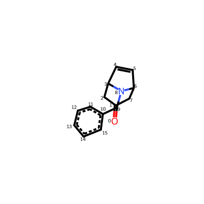 O=C1CC2C=CC(C1)N2Cc1ccccc1